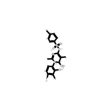 CC1=NC(OS(=O)(=O)c2ccc(C)cc2)=C(C)C(O)N1c1ccc(F)c(C)c1Cl